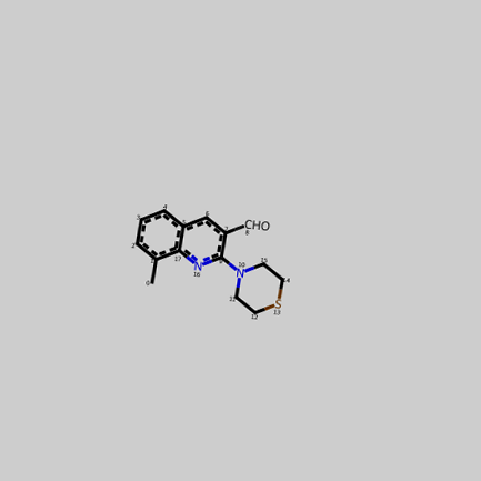 Cc1cccc2cc(C=O)c(N3CCSCC3)nc12